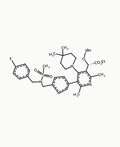 CCOC(=O)[C@@H](OC(C)(C)C)c1c(C)nc(C)c(-c2ccc(CN(Cc3ccc(F)cc3)S(C)(=O)=O)cc2)c1N1CCC(C)(C)CC1